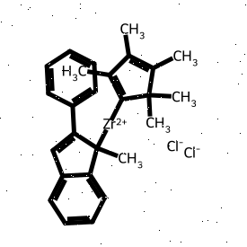 CC1=C(C)C(C)(C)[C]([Zr+2][C]2(C)C(c3ccccc3)=Cc3ccccc32)=C1C.[Cl-].[Cl-]